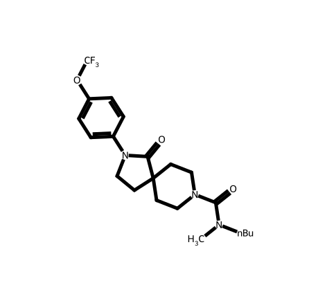 CCCCN(C)C(=O)N1CCC2(CC1)CCN(c1ccc(OC(F)(F)F)cc1)C2=O